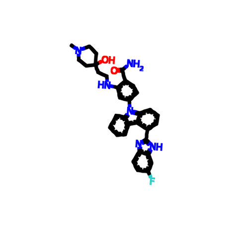 CN1CCC(O)(CCNc2cc(-n3c4ccccc4c4c(-c5nc6ccc(F)cc6[nH]5)cccc43)ccc2C(N)=O)CC1